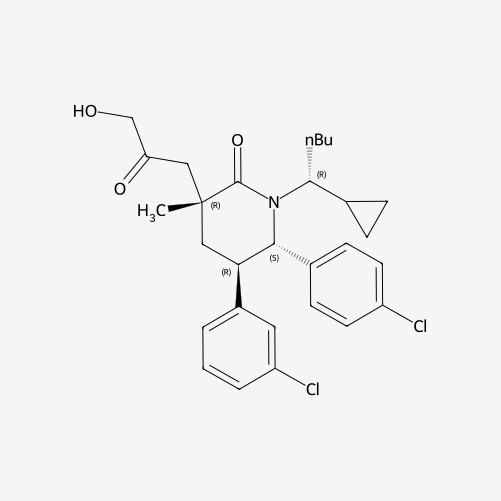 CCCC[C@H](C1CC1)N1C(=O)[C@@](C)(CC(=O)CO)C[C@H](c2cccc(Cl)c2)[C@H]1c1ccc(Cl)cc1